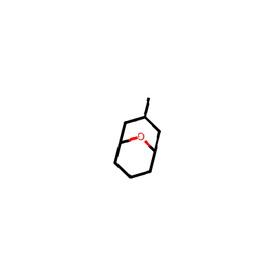 CC1CC2CCCC(C1)O2